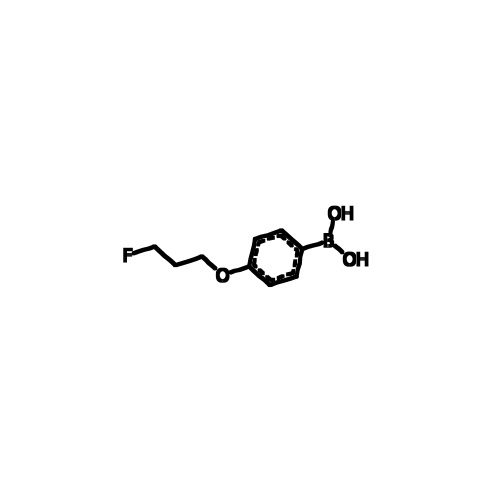 OB(O)c1ccc(OCCCF)cc1